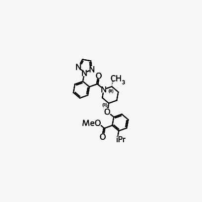 COC(=O)c1c(O[C@@H]2CC[C@@H](C)N(C(=O)c3ccccc3-n3nccn3)C2)cccc1C(C)C